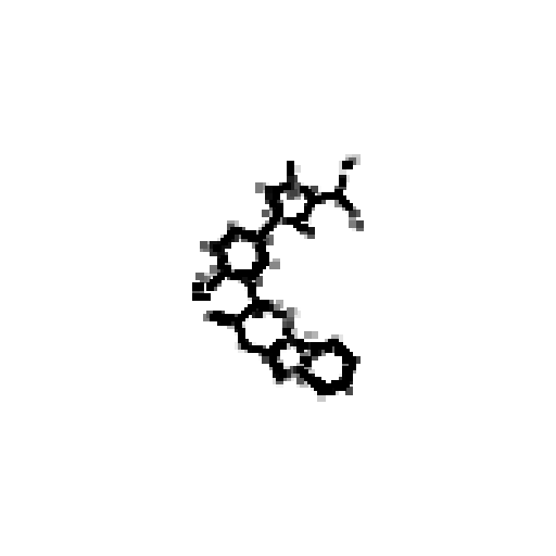 C=C(Cc1cc2ccccn2n1)C(=O)c1cc(C2=NNC(C(F)F)O2)cnc1CC